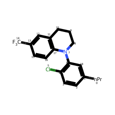 CCCc1ccc(Cl)c(N2CCCc3cc(C(F)(F)F)ccc32)c1